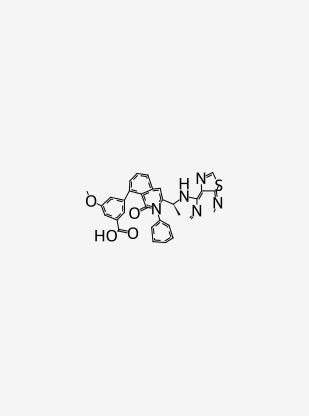 C=N/C(N[C@@H](C)c1cc2cccc(-c3cc(OC)cc(C(=O)O)c3)c2c(=O)n1-c1ccccc1)=C1/N=CS/C1=N/C